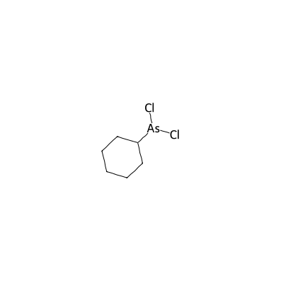 Cl[As](Cl)C1CCCCC1